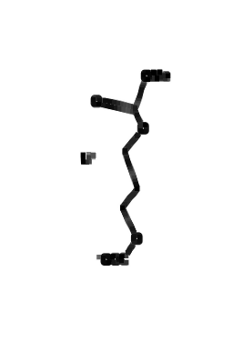 COC(=O)OCCCOC(=O)[O-].[Li+]